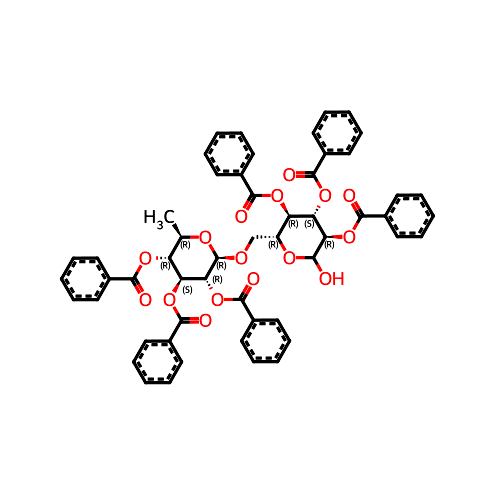 C[C@H]1O[C@@H](OC[C@H]2OC(O)[C@H](OC(=O)c3ccccc3)[C@@H](OC(=O)c3ccccc3)[C@@H]2OC(=O)c2ccccc2)[C@H](OC(=O)c2ccccc2)[C@@H](OC(=O)c2ccccc2)[C@@H]1OC(=O)c1ccccc1